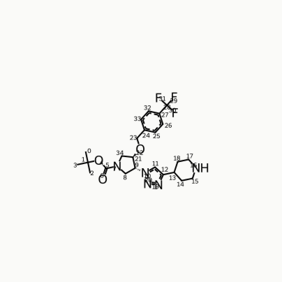 CC(C)(C)OC(=O)N1C[C@@H](n2cc(C3CCNCC3)nn2)[C@H](OCc2ccc(C(F)(F)F)cc2)C1